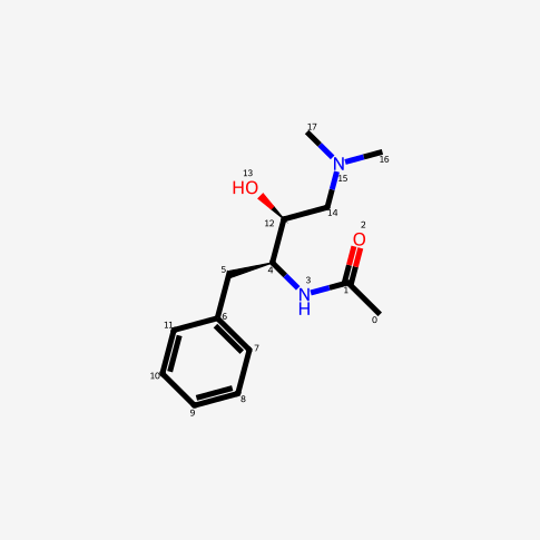 CC(=O)N[C@@H](Cc1ccccc1)[C@@H](O)CN(C)C